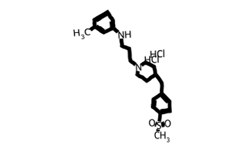 Cc1cccc(NCCCN2CCC(Cc3ccc(S(C)(=O)=O)cc3)CC2)c1.Cl.Cl